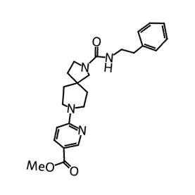 COC(=O)c1ccc(N2CCC3(CCN(C(=O)NCCc4ccccc4)C3)CC2)nc1